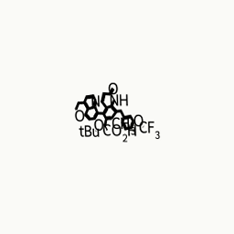 Cc1c([C@H](OC(C)(C)C)C(=O)O)c(-c2ccc3c4c(ccnc24)CCO3)c2ccc(=O)[nH]c2c1Cc1cccc(OC(F)(F)F)c1